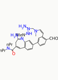 CCCN(CCC)C(=O)C1=Cc2ccc(-c3ccc(C=O)c(/C=C\N(C)CN(N)NNC)c3)cc2N=C(N)C1